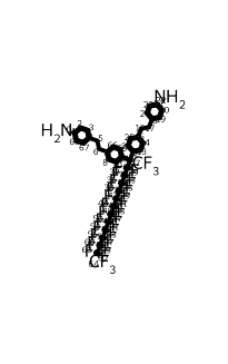 Nc1ccc(CCc2ccc(C(c3ccc(CCc4ccc(N)cc4)cc3)(C(F)(F)F)C(F)(F)C(F)(F)C(F)(F)C(F)(F)C(F)(F)C(F)(F)C(F)(F)C(F)(F)C(F)(F)C(F)(F)C(F)(F)C(F)(F)C(F)(F)F)cc2)cc1